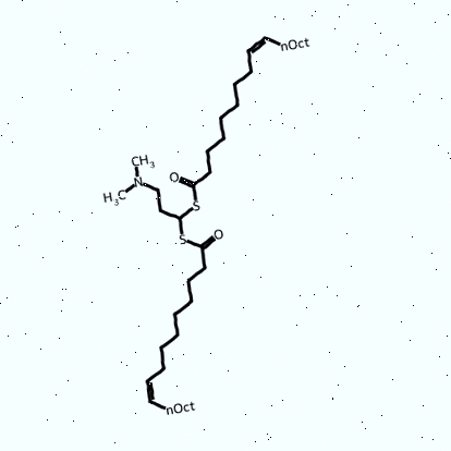 CCCCCCCC/C=C\CCCCCCCC(=O)SC(CCN(C)C)SC(=O)CCCCCCC/C=C\CCCCCCCC